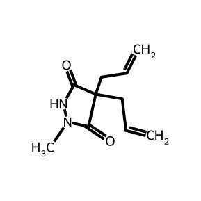 C=CCC1(CC=C)C(=O)NN(C)C1=O